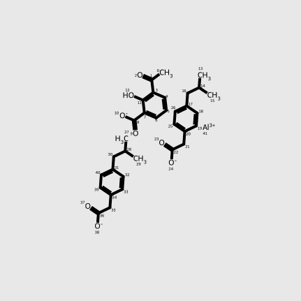 CC(=O)c1cccc(C(=O)[O-])c1O.CC(C)Cc1ccc(CC(=O)[O-])cc1.CC(C)Cc1ccc(CC(=O)[O-])cc1.[Al+3]